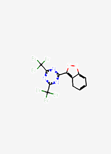 BrC(Br)(Br)c1nc(C2=C3CC=CC=C3OO2)nc(C(Br)(Br)Br)n1